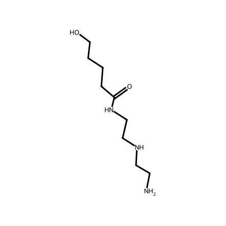 NCCNCCNC(=O)CCCCO